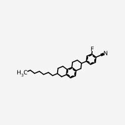 CCCCCCCC1CCc2c(ccc3c2CCC(c2ccc(C#N)c(F)c2)C3)C1